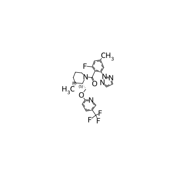 Cc1cc(F)c(C(=O)N2CCC[C@@H](C)[C@H]2COc2ccc(C(F)(F)F)cn2)c(-n2nccn2)c1